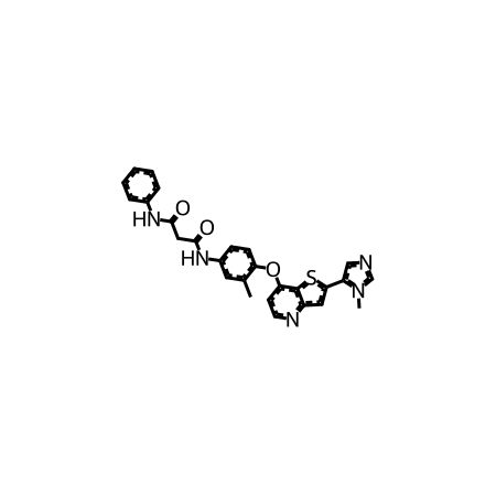 Cc1cc(NC(=O)CC(=O)Nc2ccccc2)ccc1Oc1ccnc2cc(-c3cncn3C)sc12